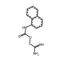 N=C(N)SOC(=O)Nc1cccc2ccccc12